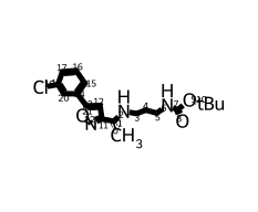 C[C@@H](NCCCNC(=O)OC(C)(C)C)c1cc(-c2cccc(Cl)c2)on1